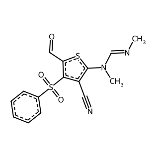 CN=CN(C)c1sc(C=O)c(S(=O)(=O)c2ccccc2)c1C#N